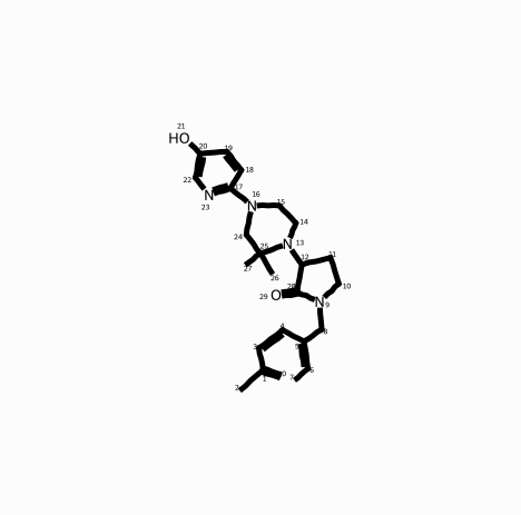 C=C(C)/C=C\C(=C/C)CN1CCC(N2CCN(c3ccc(O)cn3)CC2(C)C)C1=O